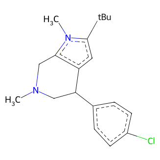 CN1Cc2c(cc(C(C)(C)C)n2C)C(c2ccc(Cl)cc2)C1